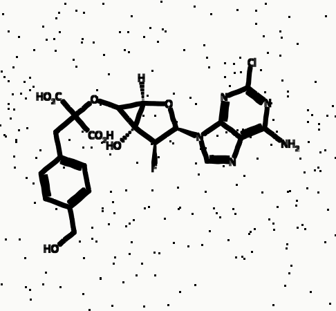 Nc1nc(Cl)nc2c1ncn2[C@@H]1O[C@@H]2C(OC(Cc3ccc(CO)cc3)(C(=O)O)C(=O)O)[C@]2(O)[C@@H]1F